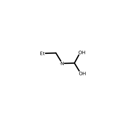 CCC[N]C(O)O